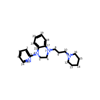 c1ccc(N2CCN(CCCN3CCCCC3)c3ccccc32)nc1